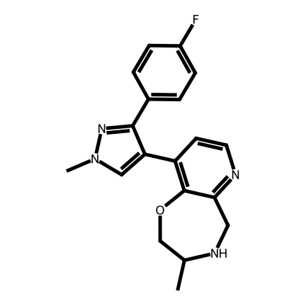 CC1COc2c(-c3cn(C)nc3-c3ccc(F)cc3)ccnc2CN1